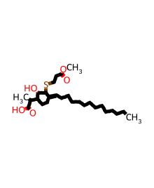 CCCCCCCCCCCCCC=C1CCC(C(C)C(=O)O)C(O)C1SCCC(=O)OC